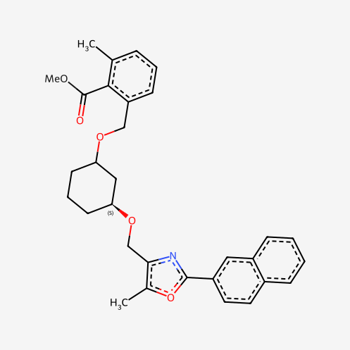 COC(=O)c1c(C)cccc1COC1CCC[C@H](OCc2nc(-c3ccc4ccccc4c3)oc2C)C1